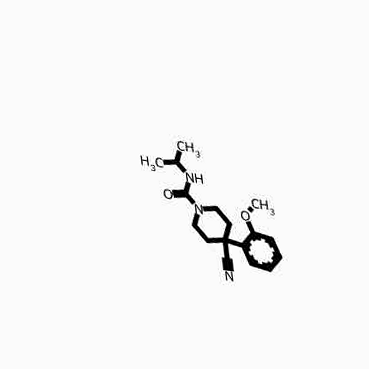 COc1ccccc1C1(C#N)CCN(C(=O)NC(C)C)CC1